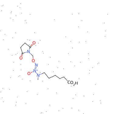 CN(CCCCCC(=O)O)[N+]([O-])=NOCN1C(=O)CCC1=O